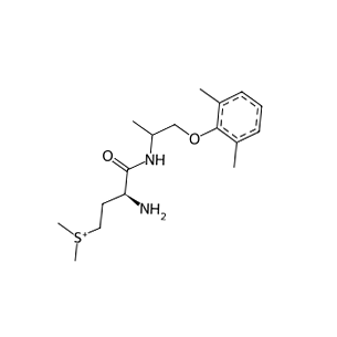 Cc1cccc(C)c1OCC(C)NC(=O)[C@@H](N)CC[S+](C)C